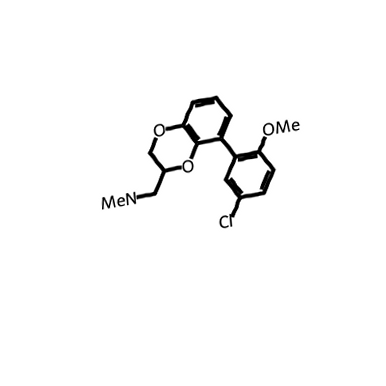 CNCC1COc2cccc(-c3cc(Cl)ccc3OC)c2O1